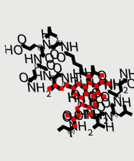 CCCCCCCCCC(=O)N[C@@H](CC(C)C)C(=O)N[C@H](CCC(=O)O)C(=O)N[C@@H](CCC(N)=O)C(=O)N[C@@H](C(=O)N[C@H](CC(C)C)C(=O)N[C@@H](CCC(N)=O)C(=O)N[C@H](COC(=O)C[C@@H](C)CC)C(=O)N[C@@H](C(=O)N[C@H](CC(C)C)C(=O)N[C@H](CCC(N)=O)C(=O)N[C@@H](CC(C)C)C(=O)N[C@@H](CC(C)C)C(=O)N[C@H](CCC(N)=O)C(N)=O)C(C)C)C(C)C